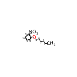 C=CCCCCOc1ccccc1[N+](=O)[O-]